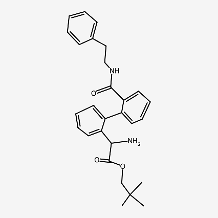 CC(C)(C)COC(=O)C(N)c1ccccc1-c1ccccc1C(=O)NCCc1ccccc1